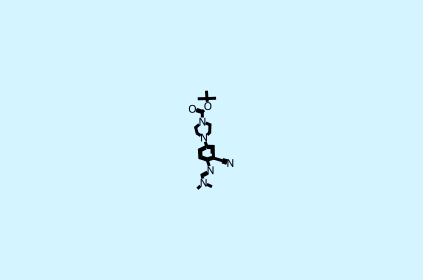 CN(C)C=Nc1ccc(N2CCN(C(=O)OC(C)(C)C)CC2)cc1C#N